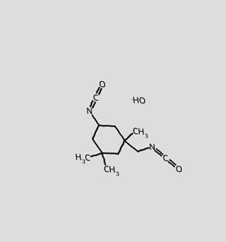 CC1(C)CC(N=C=O)CC(C)(CN=C=O)C1.[OH]